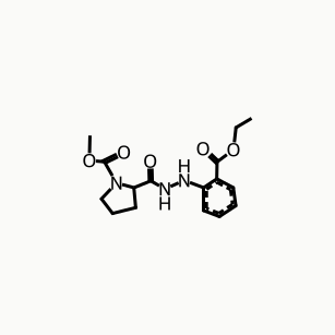 CCOC(=O)c1ccccc1NNC(=O)C1CCCN1C(=O)OC